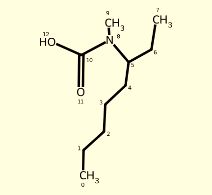 CCCCCC(CC)N(C)C(=O)O